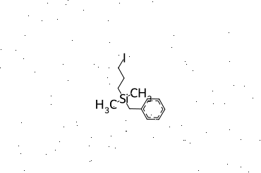 C[Si](C)(CCCI)Cc1ccccc1